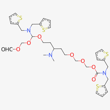 CN(C)C(CCOCOCOC(=O)N(Cc1cccs1)Cc1cccs1)CCOC(OCOC=O)N(Cc1cccs1)Cc1cccs1